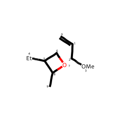 C=CCOC.CCC1COC1C